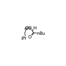 CC(C)CC(=O)O.CCCCC(=O)CCC